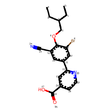 CCC(CC)COc1c(Br)cc(-c2cc(C(=O)O)ccn2)cc1C#N